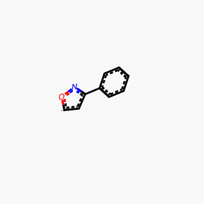 [c]1cc(-c2ccccc2)no1